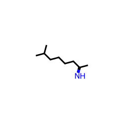 CC(=N)CCCCC(C)C